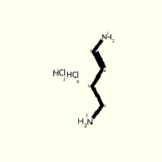 Cl.Cl.NC=CCCN